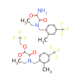 CCN(Cc1ccc(C(F)(F)F)cc1C)C(=O)C(=O)OCC(F)(F)F.CCN(Cc1ccc(C(F)(F)F)cc1C)C(=O)C(N)=O